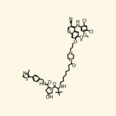 COc1cc(Nc2c(C#N)cnc3cc(OCCCN4CCN(C(=O)CCCCCCCNC(C(=O)N5C[C@H](O)C[C@H]5C(=O)NCc5ccc(-c6scnc6C)cc5)C(C)(C)C)CC4)c(OC)cc23)c(Cl)cc1Cl